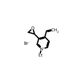 C=Cc1cc[n+](CC)cc1C1CO1.[Br-]